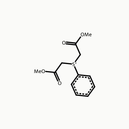 COC(=O)C[S+](CC(=O)OC)c1ccccc1